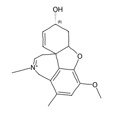 COc1cc(C)c2c3c1OC1C[C@@H](O)C=CC31CC=[N+](C)C2